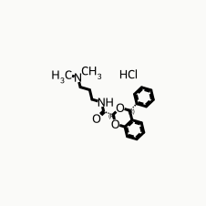 CN(C)CCCNC(=O)[C@H]1Oc2ccccc2[C@@H](c2ccccc2)O1.Cl